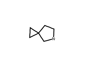 C1CC2(CC2)C[N]1